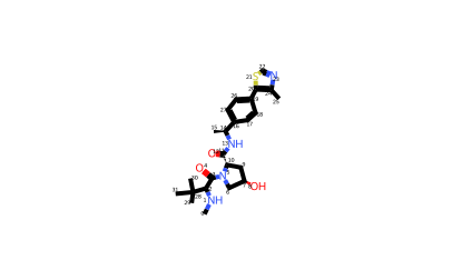 CNC(C(=O)N1C[C@H](O)C[C@H]1C(=O)N[C@@H](C)c1ccc(-c2scnc2C)cc1)C(C)(C)C